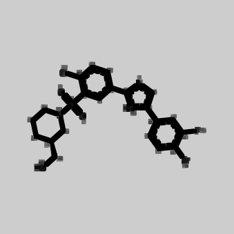 O=S(=O)(c1cc(-c2ncc(-c3ccc(Br)c(F)c3)[nH]2)ccc1Cl)N1CCC[C@H](CO)C1